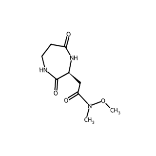 CON(C)C(=O)C[C@@H]1NC(=O)CCNC1=O